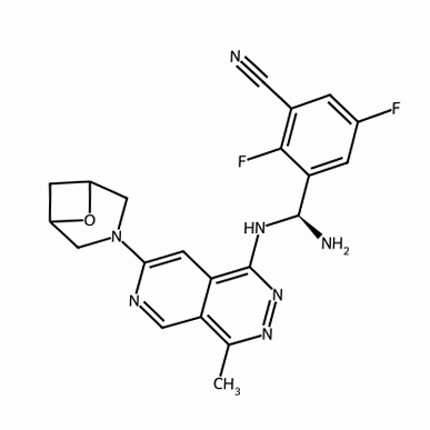 Cc1nnc(N[C@H](N)c2cc(F)cc(C#N)c2F)c2cc(N3CC4CC(C3)O4)ncc12